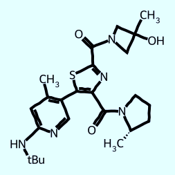 Cc1cc(NC(C)(C)C)ncc1-c1sc(C(=O)N2CC(C)(O)C2)nc1C(=O)N1CCC[C@@H]1C